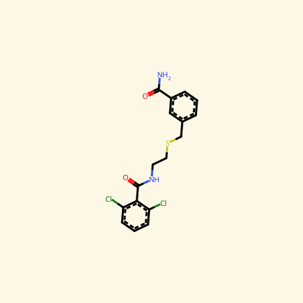 NC(=O)c1cccc(CSCCNC(=O)c2c(Cl)cccc2Cl)c1